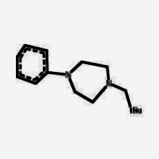 CC(C)(C)CN1CCN(c2ccccc2)CC1